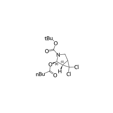 CCCCC(=O)O[C@@H]1[C@@H]2C(CN1C(=O)OC(C)(C)C)C2(Cl)Cl